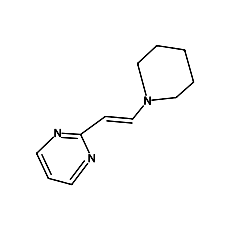 C(=CN1CCCCC1)c1ncccn1